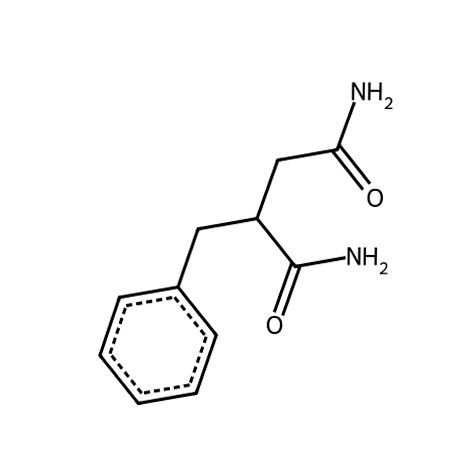 NC(=O)CC(Cc1ccccc1)C(N)=O